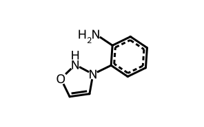 Nc1ccccc1N1C=CON1